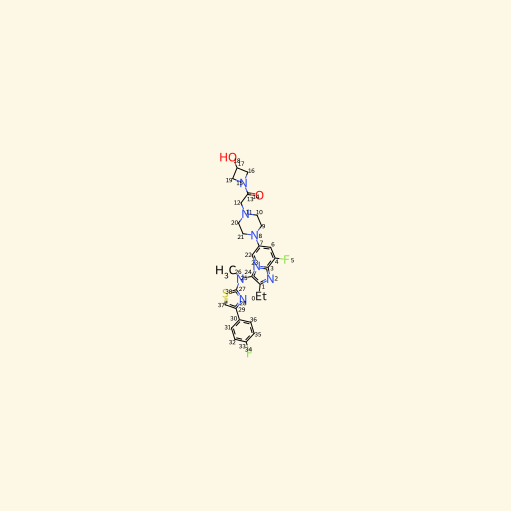 CCc1nc2c(F)cc(N3CCN(CC(=O)N4CC(O)C4)CC3)cn2c1N(C)c1nc(-c2ccc(F)cc2)cs1